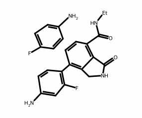 CCNC(=O)c1ccc(-c2ccc(N)cc2F)c2c1C(=O)NC2.Nc1ccc(F)cc1